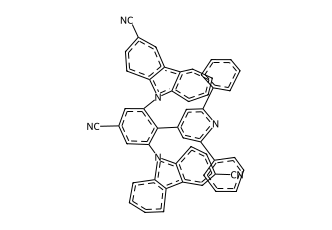 N#Cc1cc(-n2c3ccccc3c3cc(C#N)ccc32)c(-c2cc(-c3ccccc3)nc(-c3ccccc3)c2)c(-n2c3ccccc3c3cc(C#N)ccc32)c1